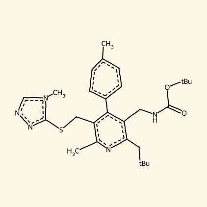 Cc1ccc(-c2c(CSc3nncn3C)c(C)nc(CC(C)(C)C)c2CNC(=O)OC(C)(C)C)cc1